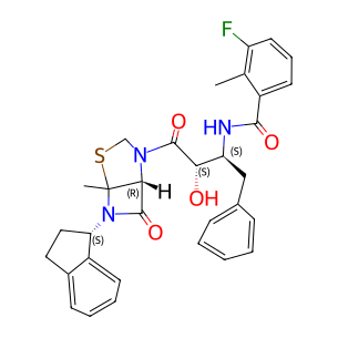 Cc1c(F)cccc1C(=O)N[C@@H](Cc1ccccc1)[C@H](O)C(=O)N1CSC2(C)[C@H]1C(=O)N2[C@H]1CCc2ccccc21